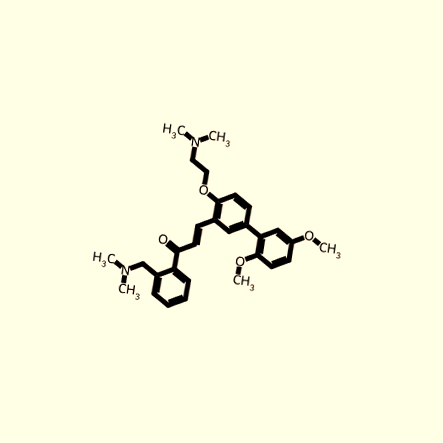 COc1ccc(OC)c(-c2ccc(OCCN(C)C)c(C=CC(=O)c3ccccc3CN(C)C)c2)c1